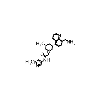 C[C@@H]1C[C@H](c2ccc(CN)c3ncccc23)CN(CC(=O)Nc2cnn(C)c2)C1